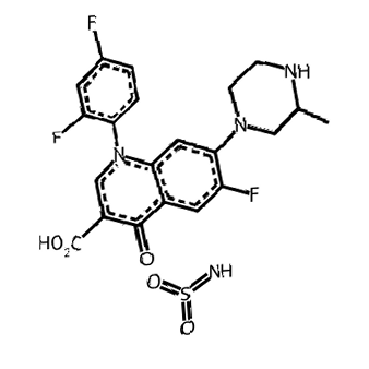 CC1CN(c2cc3c(cc2F)c(=O)c(C(=O)O)cn3-c2ccc(F)cc2F)CCN1.N=S(=O)=O